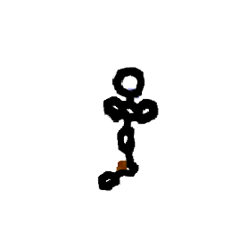 C1=C(C2=CCC(c3ccccc3)S2)CCC(c2c3ccccc3c(/C3=C/CCCCCC3)c3ccccc23)=C1